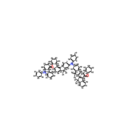 Cc1ccc(N(c2ccc3c(c2)C(C)(C)c2cc(-c4cccc5c4c4ccccc4n5-c4ccccc4)c4oc5ccccc5c4c2-3)c2ccc3c(c2)C(C)(C)c2c4c(c5oc6ccccc6c5c2-3)-c2ccccc2C4(C)C)cc1